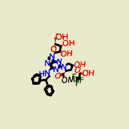 COC(=O)[C@@H]1C[C@@H](O)CN1c1nc(NCC(c2ccccc2)c2ccccc2)c2ncn([C@@H]3O[C@H](CO)[C@@H](O)C3O)c2n1.O=C(O)C(F)(F)F